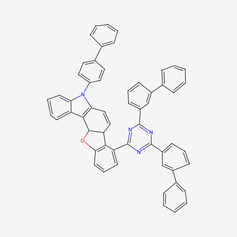 C1=CC2c3c(cccc3-c3nc(-c4cccc(-c5ccccc5)c4)nc(-c4cccc(-c5ccccc5)c4)n3)OC2c2c1n(-c1ccc(-c3ccccc3)cc1)c1ccccc21